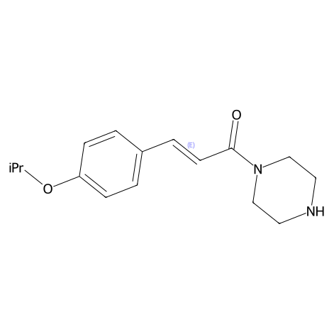 CC(C)Oc1ccc(/C=C/C(=O)N2CCNCC2)cc1